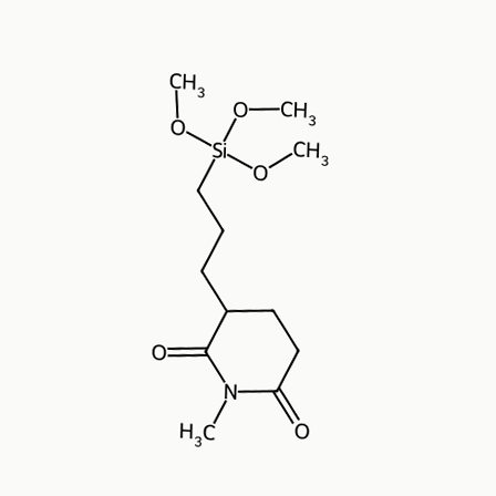 CO[Si](CCCC1CCC(=O)N(C)C1=O)(OC)OC